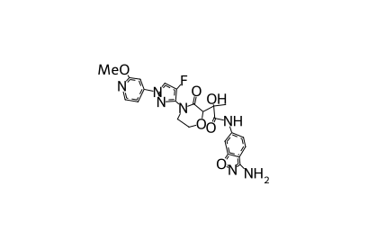 COc1cc(-n2cc(F)c(N3CCOC(C(C)(O)C(=O)Nc4ccc5c(N)noc5c4)C3=O)n2)ccn1